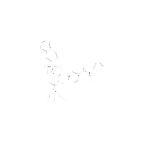 CCN(CC)C(=O)[C@H](Cc1ccc(NC(=O)c2ccco2)cc1)C(=O)NS(=O)(=O)c1ccc2ccccc2c1